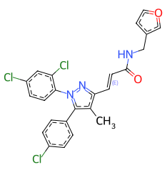 Cc1c(/C=C/C(=O)NCc2ccoc2)nn(-c2ccc(Cl)cc2Cl)c1-c1ccc(Cl)cc1